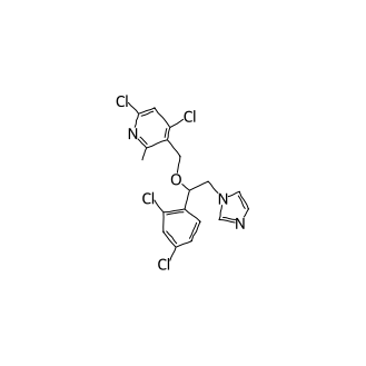 Cc1nc(Cl)cc(Cl)c1COC(Cn1ccnc1)c1ccc(Cl)cc1Cl